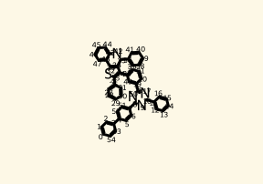 c1ccc(-c2ccc(-c3nc(-c4ccccc4)nc(-c4cccc(-c5c(-c6ccccc6)sc6c5c(-c5ccccc5)nc5ccccc56)c4)n3)cc2)cc1